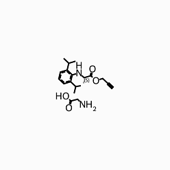 C#CCOC(=O)[C@H](C)Nc1c(C(C)C)cccc1C(C)C.NCC(=O)O